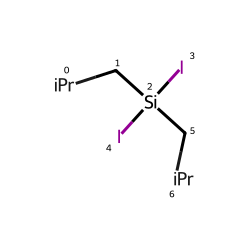 CC(C)C[Si](I)(I)CC(C)C